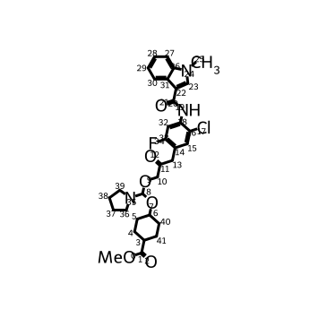 COC(=O)C1CCC(OC(OCC(=O)Cc2cc(Cl)c(NC(=O)c3cn(C)c4ccccc34)cc2F)N2CCCC2)CC1